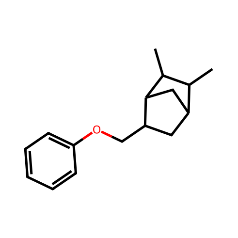 CC1C2CC(COc3ccccc3)C(C2)C1C